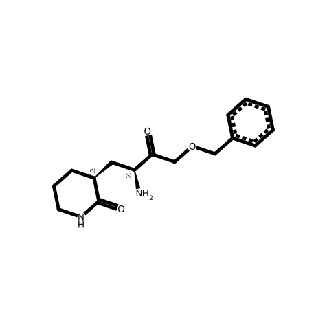 N[C@@H](C[C@@H]1CCCNC1=O)C(=O)COCc1ccccc1